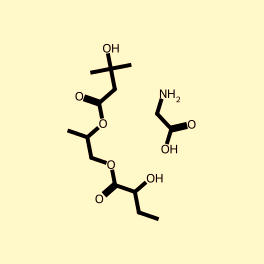 CCC(O)C(=O)OCC(C)OC(=O)CC(C)(C)O.NCC(=O)O